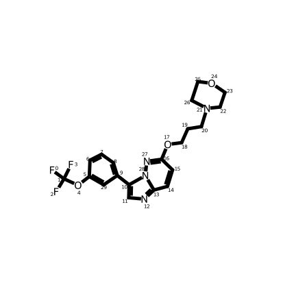 FC(F)(F)Oc1cccc(-c2cnc3ccc(OCCCN4CCOCC4)nn23)c1